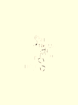 CCCCc1nc(OC)c(CNC(=O)[C@@H](S)CC(C)C)n1Cc1ccc(-c2ccccc2C(=O)O)cc1F